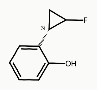 Oc1ccccc1[C@@H]1CC1F